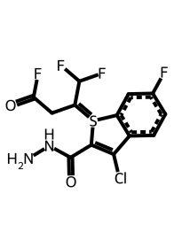 NNC(=O)C1=C(Cl)c2ccc(F)cc2S1=C(CC(=O)F)C(F)F